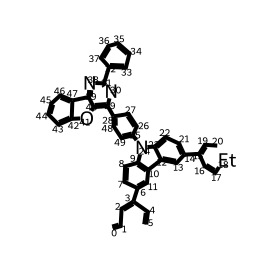 C=C/C=C(\C=C)c1ccc2c(c1)c1cc(C(/C=C\CC)=C/C)ccc1n2-c1ccc(-c2nc(-c3ccccc3)nc3c2oc2ccccc23)cc1